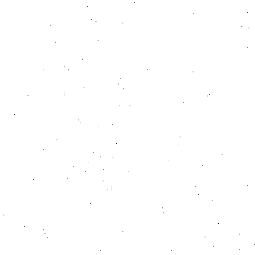 N#CC12CC3CC1C(OC2=O)C3OC(=O)C(F)(F)SOOO